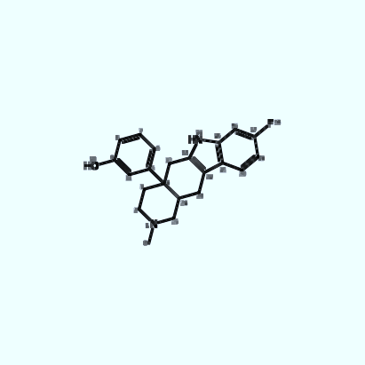 CN1CCC2(c3cccc(O)c3)Cc3[nH]c4cc(F)ccc4c3CC2C1